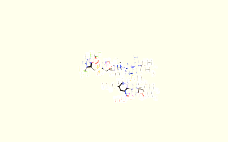 CCNc1nc(NC(C)C)nc(SC)n1.Cc1cnc(C2=NC(C)(C(C)C)C(=O)N2)c(C(=O)O)c1.Cn1nc(C(F)(F)F)c(CS(=O)(=O)C2=NOC(C)(C)C2)c1OC(F)F